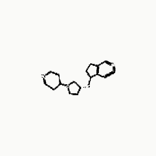 c1cc2c(cn1)CCC2S[C@@H]1CCN(C2CCOCC2)C1